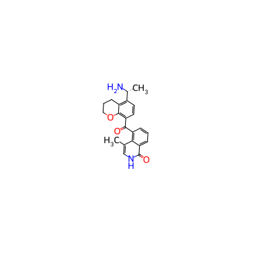 Cc1c[nH]c(=O)c2cccc(C(=O)c3ccc([C@@H](C)N)c4c3OCCC4)c12